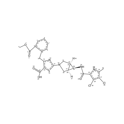 COC(=O)c1ccccc1Cc1nc(N2C[C@@H]3[C@H](C2)[C@@H]3NC(=O)c2[nH]c(C)c(Cl)c2Cl)sc1C(=O)O